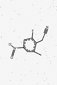 Cc1cc([N+](=O)[O-])cc(F)c1CC#N